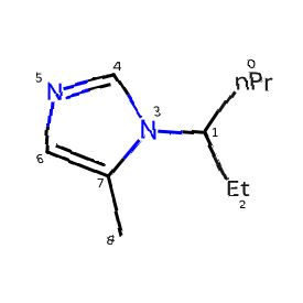 CCCC(CC)n1cncc1C